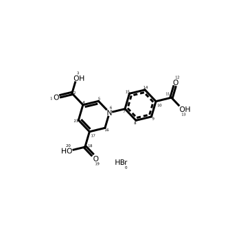 Br.O=C(O)C1=CN(c2ccc(C(=O)O)cc2)CC(C(=O)O)=C1